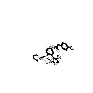 Cn1ncc(Br)c1-c1cc(NC(=O)Cc2ccc(Cl)cc2)ccc1OCCN1CCCC1